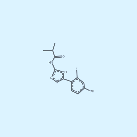 CC(C)C(=O)Nc1nnc(-c2ccc(O)cc2F)[nH]1